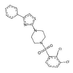 O=S(=O)(c1cccc(Cl)c1Cl)N1CCN(c2nc(-c3ccccc3)cs2)CC1